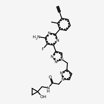 C#Cc1cccc(-c2nc(N)c(F)c(-c3cn(Cc4ccn(CC(=O)NCC5(O)CC5)n4)nn3)n2)c1C